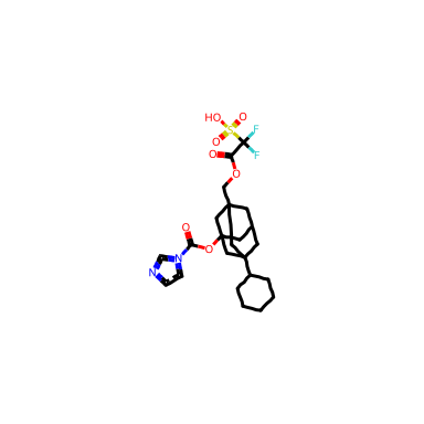 O=C(OC12CC3CC(COC(=O)C(F)(F)S(=O)(=O)O)(C1)CC(C1CCCCC1)(C3)C2)n1ccnc1